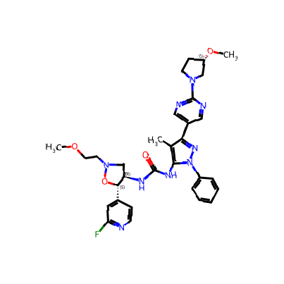 COCCN1C[C@@H](NC(=O)Nc2c(C)c(-c3cnc(N4CC[C@H](OC)C4)nc3)nn2-c2ccccc2)[C@H](c2ccnc(F)c2)O1